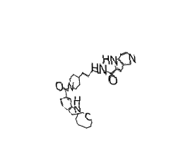 O=C(NCCCCC1CCN(C(=O)c2ccc3c(c2)NC2(CCCCCCC2)C3)CC1)c1cc2cnccc2[nH]1